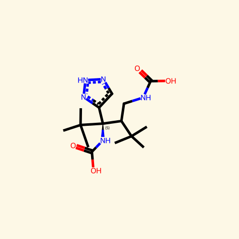 CC(C)(C)C(CNC(=O)O)[C@@](NC(=O)O)(c1cn[nH]n1)C(C)(C)C